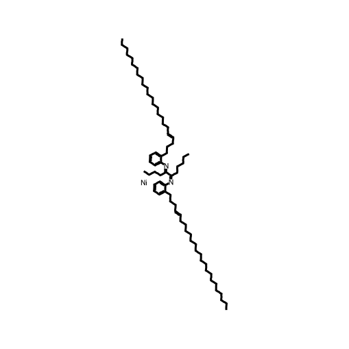 CCCCCCCCCCCCCCCCCCC/C=C/CCCc1ccccc1/N=C(CCCCC)\C(CCCC)=N\c1ccccc1CCC/C=C/CCCCCCCCCCCCCCCCCCC.[Ni]